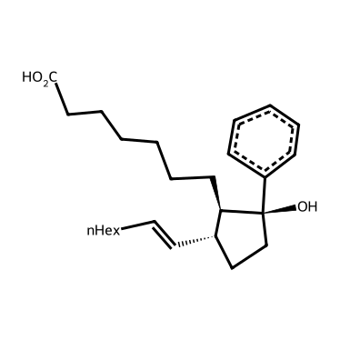 CCCCCCC=C[C@H]1CC[C@@](O)(c2ccccc2)[C@@H]1CCCCCCC(=O)O